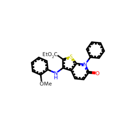 CCOC(=O)c1sc2c(ccc(=O)n2-c2ccccc2)c1Nc1ccccc1OC